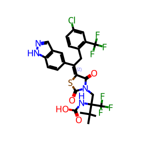 CC(C)(C)C(CN1C(=O)S/C(=C(/Cc2ccc(Cl)cc2C(F)(F)F)c2ccc3[nH]ncc3c2)C1=O)(NC(=O)O)C(F)(F)F